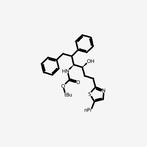 CCCc1cnc(CC[C@H](O)[C@@H](NC(=O)OC(C)(C)C)C(Cc2ccccc2)c2ccccc2)s1